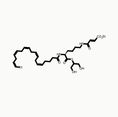 CC/C=C\C/C=C\C/C=C\C/C=C\C/C=C\CCCC(=O)N[C@@H](CCCCNC(=O)/C=C/C(=O)OCC)C(=O)OC(CO)CO